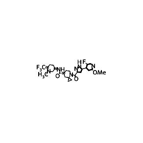 COc1cc(-c2cc(C(=O)N3CC[C@@H](C(=O)N[C@H]4CC[C@@H](C(F)(F)F)N(C)C4)CC34CC4)n[nH]2)c(F)cn1